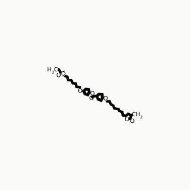 C=CC(=O)OCCCCCCCCOc1ccc(OC(=O)c2ccc(OCCCCCCCCCC3CC(=C)C(=O)O3)cc2)cc1